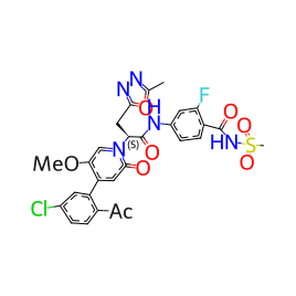 COc1cn([C@@H](Cc2nnc(C)o2)C(=O)Nc2ccc(C(=O)NS(C)(=O)=O)c(F)c2)c(=O)cc1-c1cc(Cl)ccc1C(C)=O